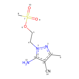 Cc1nn(CCOS(C)(=O)=O)c(N)c1C#N